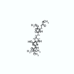 COC(=O)CC[C@@H](NC(=O)CCC1CNc2nc(NC(=O)C(C)(C)C)nc(O)c2C1)C(=O)OC